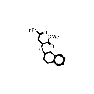 CCCC(=O)CC(OC1CCc2ccccc2C1)C(=O)OC